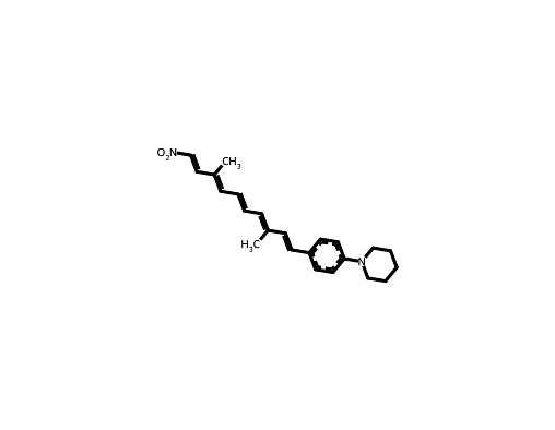 CC(/C=C/c1ccc(N2CCCCC2)cc1)=C\C=C\C=C(C)\C=C\[N+](=O)[O-]